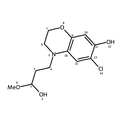 COC(O)CCN1CCOc2cc(O)c(Cl)cc21